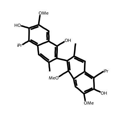 COc1cc2c(O)c(-c3c(C)cc4c(C(C)C)c(O)c(OC)cc4c3OC)c(C)cc2c(C(C)C)c1O